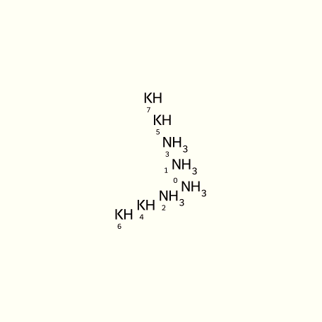 N.N.N.N.[KH].[KH].[KH].[KH]